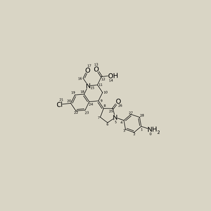 Nc1ccc(N2CCC(=C3CC(C(=O)O)N(C=O)c4cc(Cl)ccc43)C2=O)cc1